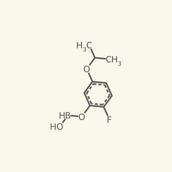 CC(C)Oc1ccc(F)c(OBO)c1